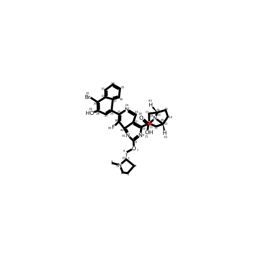 CN1CCC[C@H]1COc1nc(N2C[C@H]3CC[C@@H](C2)N3C(=O)O)c2cnc(-c3cc(O)c(Br)c4ccccc34)c(F)c2n1